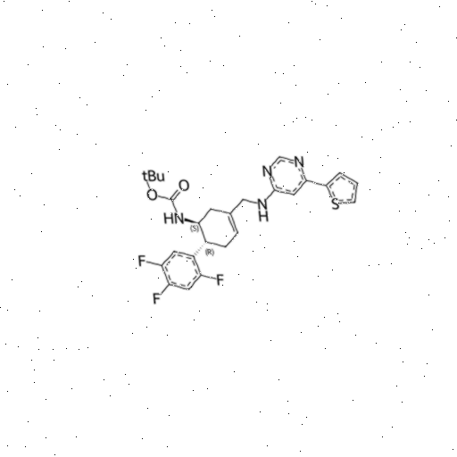 CC(C)(C)OC(=O)N[C@H]1CC(CNc2cc(-c3cccs3)ncn2)=CC[C@@H]1c1cc(F)c(F)cc1F